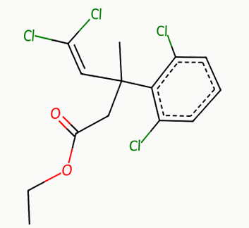 CCOC(=O)CC(C)(C=C(Cl)Cl)c1c(Cl)cccc1Cl